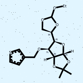 CCOC1OC[C@H]([C@H]2O[C@@H]3OC(C)(C)O[C@@H]3[C@H]2OCc2ccsc2)O1